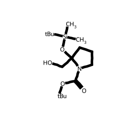 CC(C)(C)OC(=O)N1CCCC1(CO)O[Si](C)(C)C(C)(C)C